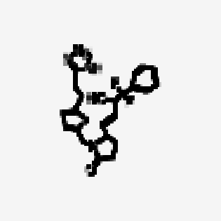 O=C1CC[C@H](/C=C/C(O)C(F)(F)c2ccccc2)N1Cc1ccc(CCc2nnn[nH]2)s1